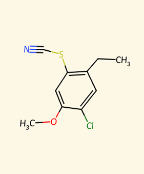 CCc1cc(Cl)c(OC)cc1SC#N